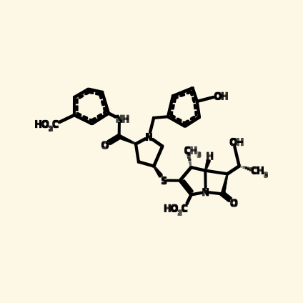 C[C@@H](O)[C@H]1C(=O)N2C(C(=O)O)=C(S[C@H]3C[C@@H](C(=O)Nc4cccc(C(=O)O)c4)N(Cc4ccc(O)cc4)C3)[C@H](C)[C@H]12